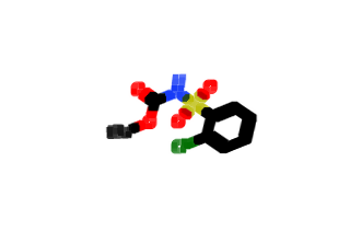 CC(C)(C)OC(=O)NS(=O)(=O)c1ccccc1Cl